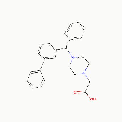 O=C(O)CN1CCN(C(c2ccccc2)c2cccc(-c3ccccc3)c2)CC1